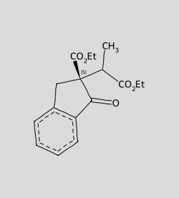 CCOC(=O)C(C)[C@@]1(C(=O)OCC)Cc2ccccc2C1=O